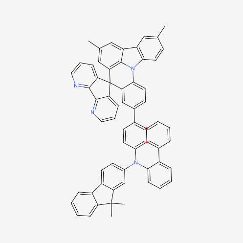 Cc1ccc2c(c1)c1cc(C)cc3c1n2-c1ccc(-c2ccc(N(c4ccc5c(c4)C(C)(C)c4ccccc4-5)c4ccccc4-c4ccccc4)cc2)cc1C31c2cccnc2-c2ncccc21